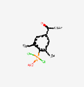 COC(=O)c1cc(C(C)(C)C)c([PH](O)(Cl)Cl)c(C(C)(C)C)c1